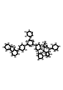 c1ccc(-c2nc(-c3ccc(-c4cccc5c4oc4ccccc45)cc3)nc(-c3ccc4c(c3)-c3ccccc3C43c4ccccc4N(c4ccccc4)c4ccccc43)n2)cc1